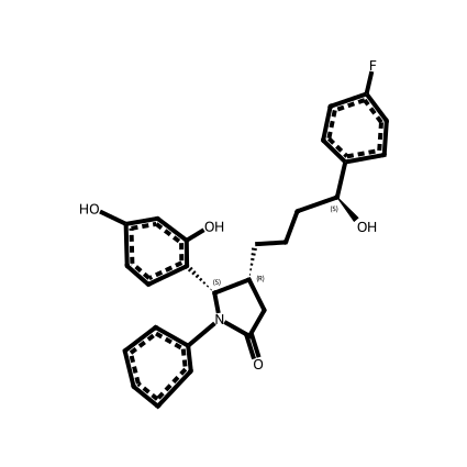 O=C1C[C@@H](CCC[C@H](O)c2ccc(F)cc2)[C@@H](c2ccc(O)cc2O)N1c1ccccc1